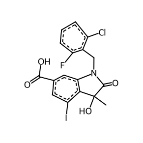 CC1(O)C(=O)N(Cc2c(F)cccc2Cl)c2cc(C(=O)O)cc(I)c21